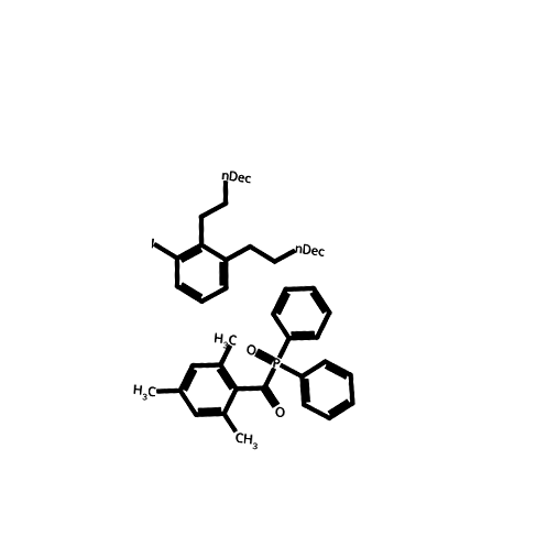 CCCCCCCCCCCCc1cccc(I)c1CCCCCCCCCCCC.Cc1cc(C)c(C(=O)P(=O)(c2ccccc2)c2ccccc2)c(C)c1